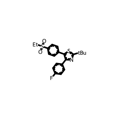 CCS(=O)(=O)c1ccc(-c2sc(C(C)(C)C)nc2-c2ccc(F)cc2)cc1